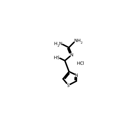 Cl.NC(N)=NC(S)c1cscn1